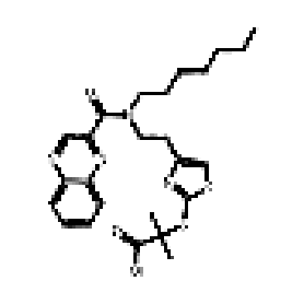 CCCCCCCN(CCc1csc(SC(C)(C)C(=O)O)n1)C(=O)c1cnc2ccccc2n1